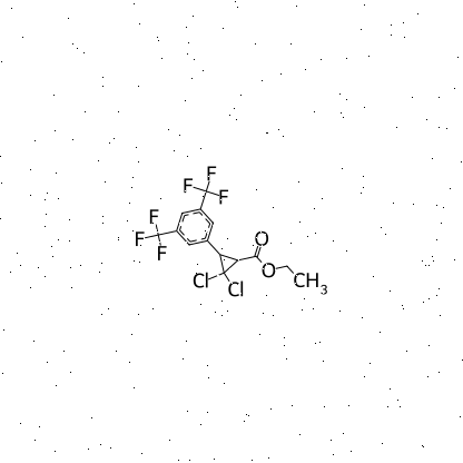 CCOC(=O)C1C(c2cc(C(F)(F)F)cc(C(F)(F)F)c2)C1(Cl)Cl